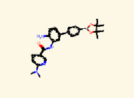 CN(C)c1ccc(C(=O)Nc2cc(-c3ccc(B4OC(C)(C)C(C)(C)O4)cc3)ccc2N)cn1